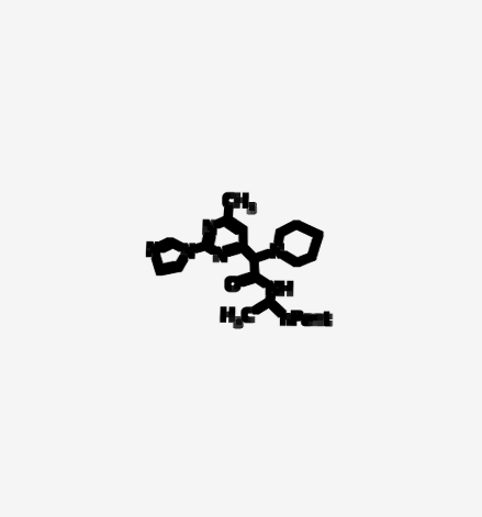 CCCCCC(C)NC(=O)C(c1cc(C)nc(-n2ccnc2)n1)N1CCCCC1